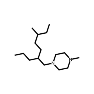 CCCC(CCC(C)CC)CN1CCN(C)CC1